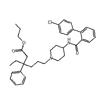 CCCOC(=O)CC(CC)(CCCN1CCC(NC(=O)c2ccccc2-c2ccc(Cl)cc2)CC1)c1ccccc1